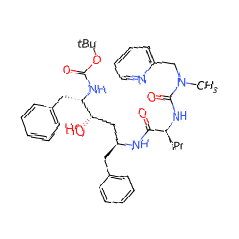 CC(C)[C@H](NC(=O)N(C)Cc1ccccn1)C(=O)N[C@@H](Cc1ccccc1)C[C@H](O)[C@H](Cc1ccccc1)NC(=O)OC(C)(C)C